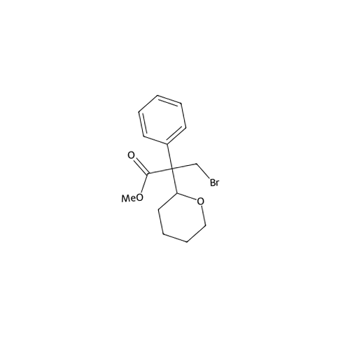 COC(=O)C(CBr)(c1ccccc1)C1CCCCO1